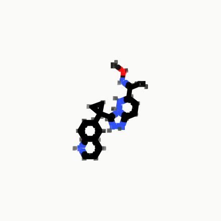 CCON=C(C)c1ccc2nnc(C3(c4ccc5ncccc5c4)CC3)n2n1